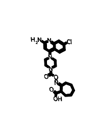 Nc1cc(N2CCN(C(=O)ON=C3CCCCCC3C(=O)O)CC2)c2ccc(Cl)cc2n1